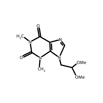 COC(Cn1cnc2c(=O)n(C)c(=O)n(C)c21)OC